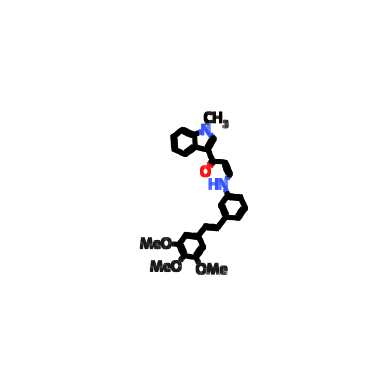 COc1cc(C=Cc2cccc(N/C=C\C(=O)c3cn(C)c4ccccc34)c2)cc(OC)c1OC